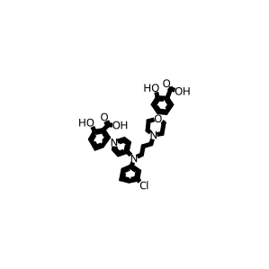 Clc1cccc(N(CCCN2CCOCC2)c2ccncc2)c1.O=C(O)c1ccccc1O.O=C(O)c1ccccc1O